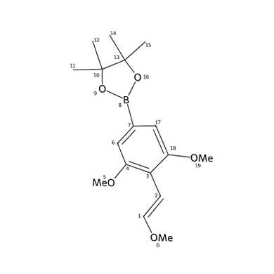 COC=Cc1c(OC)cc(B2OC(C)(C)C(C)(C)O2)cc1OC